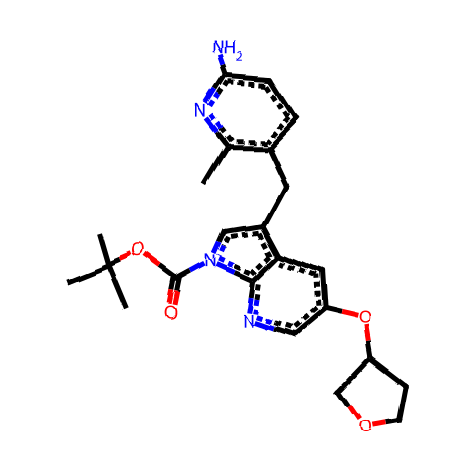 Cc1nc(N)ccc1Cc1cn(C(=O)OC(C)(C)C)c2ncc(OC3CCOC3)cc12